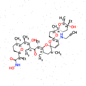 C#CCN[C@@H]1C=CC2(O[C@H]([C@@H](CC)C(=O)[C@@H](C)[C@@H](O)[C@H](C)[C@@H]3O[C@@H]([C@@H](CC)C(=O)NO)CC[C@@H]3C)[C@@H](C)C[C@H]2C)O[C@@]12CC[C@@](C)([C@H]1CC[C@](O)(CC)[C@H](C)O1)O2